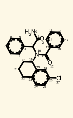 NC(=O)C(c1ccccc1)N(C(=O)c1ccccc1)[C@@H]1CCCc2ccc(Cl)cc21